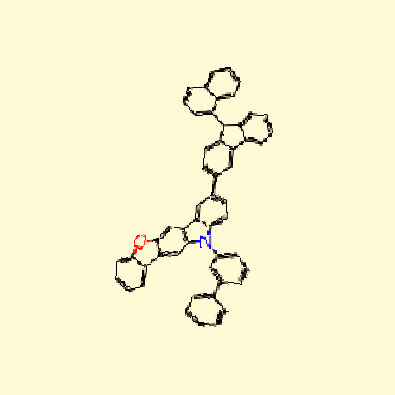 c1ccc(-c2cccc(-n3c4ccc(-c5ccc6c(c5)-c5ccccc5C6c5cccc6ccccc56)cc4c4cc5oc6ccccc6c5cc43)c2)cc1